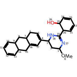 COC1CC(C2=CCC3CC4C=CC=CC4CC3=C2)NC(C2C=CC=CC2O)=N1